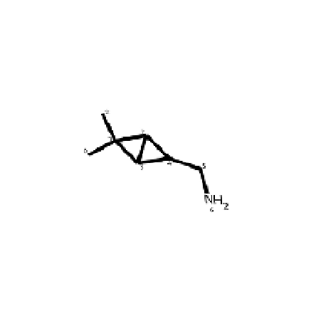 CC1(C)C2C(CN)C21